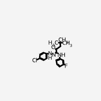 CC(C)(C)CC(=O)/C(=N\Nc1ccc(Cl)cc1)Nc1cccc(F)c1